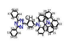 Cc1cc(N2c3ccccc3C(c3ccccc3)(n3c4ccccc4c4ccccc43)c3ccccc32)ccc1-c1nc(-c2ccccc2)nc(-c2ccccc2)n1